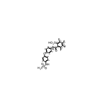 CS(=O)(=O)Nc1ccc(Oc2ccc(NC(=O)c3c(F)c(F)c(F)c(F)c3C(=O)O)cc2)cc1